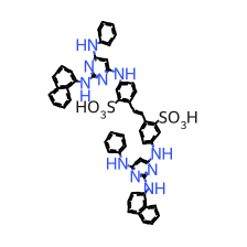 O=S(=O)(O)c1cc(Nc2cc(Nc3ccccc3)nc(Nc3cccc4ccccc34)n2)ccc1C=Cc1ccc(Nc2cc(Nc3ccccc3)nc(Nc3cccc4ccccc34)n2)cc1S(=O)(=O)O